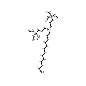 CO[Si](CCCN(CCCCCCCCCCCCN)CCC[Si](OC)(OC)OC)(OC)OC